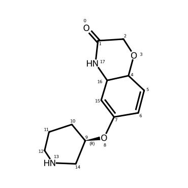 O=C1COC2C=CC(O[C@@H]3CCCNC3)=CC2N1